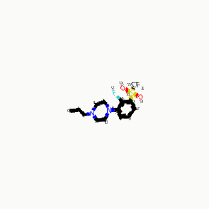 C=CCN1CCN(c2cccc(S(=O)(=O)C(F)(F)F)c2F)CC1